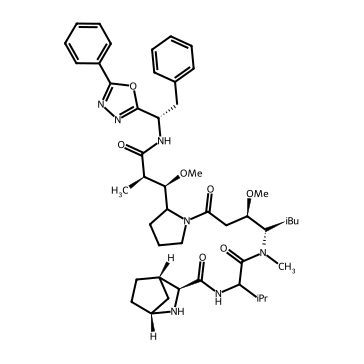 CC[C@H](C)[C@@H]([C@@H](CC(=O)N1CCCC1[C@H](OC)[C@@H](C)C(=O)N[C@@H](Cc1ccccc1)c1nnc(-c2ccccc2)o1)OC)N(C)C(=O)C(NC(=O)[C@H]1N[C@@H]2CC[C@H]1C2)C(C)C